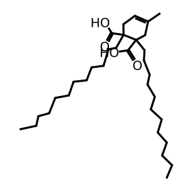 CCCCCCCCCCCCC1(C(=O)O)CC=C(C)CC1(CCCCCCCCCCCC)C(=O)O